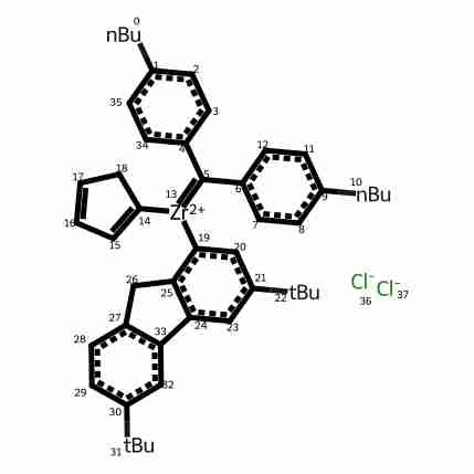 CCCCc1ccc([C](c2ccc(CCCC)cc2)=[Zr+2]([C]2=CC=CC2)[c]2cc(C(C)(C)C)cc3c2Cc2ccc(C(C)(C)C)cc2-3)cc1.[Cl-].[Cl-]